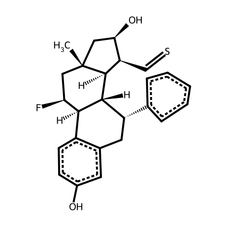 C[C@@]12C[C@@H](O)[C@@H](C=S)[C@H]1[C@H]1[C@@H](c3ccc(O)cc3C[C@H]1c1ccccc1)[C@@H](F)C2